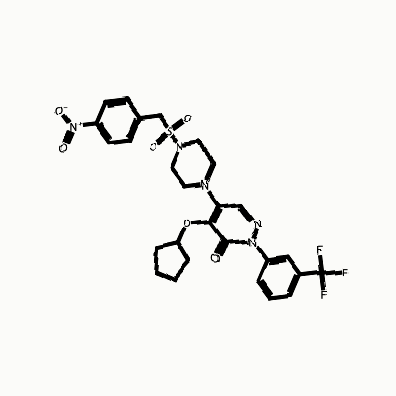 O=c1c(OC2CCCC2)c(N2CCN(S(=O)(=O)Cc3ccc([N+](=O)[O-])cc3)CC2)cnn1-c1cccc(C(F)(F)F)c1